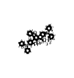 CCc1cc(N(c2ccccc2)c2ccccc2)ccc1-c1c(CC)c2c(c3oc4ccccc4c13)-c1ccc(N(c3ccccc3)c3ccccc3)cc1C2(C)C